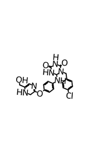 O=C1NC(=O)N(Cc2ccc(Cl)cc2)C(Nc2ccc(OC3=NC=C(CO)NC3)cc2)N1